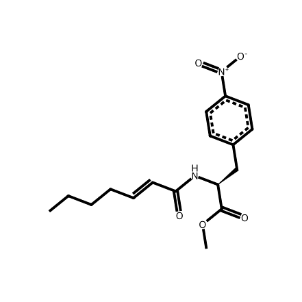 CCCC/C=C/C(=O)N[C@@H](Cc1ccc([N+](=O)[O-])cc1)C(=O)OC